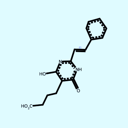 O=C(O)CCCc1c(O)nc(/C=C/c2ccccc2)[nH]c1=O